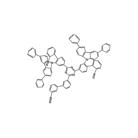 N#Cc1cccc(-c2cccc(-c3nc(-c4ccc(-c5ccccc5C#N)c(-n5c6ccc(-c7ccccc7)cc6c6cc(-c7ccccc7)ccc65)c4)nc(-c4ccc(-c5ccccc5C#N)c(-n5c6ccc(-c7ccccc7)cc6c6cc(-c7ccccc7)ccc65)c4)n3)c2)c1